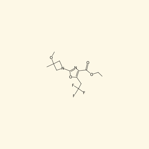 CCOC(=O)c1nc(N2CC(C)(OC)C2)oc1CC(F)(F)F